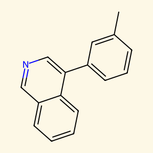 Cc1cccc(-c2cncc3ccccc23)c1